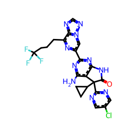 Nc1nc(-c2cn3ncnc3c(CCCC(F)(F)F)n2)nc2c1C(c1ncc(Cl)cn1)(C1CC1)C(=O)N2